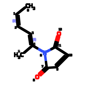 C/C=C\C=C(/C)N1C(=O)C=CC1=O